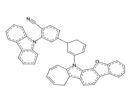 N#Cc1ccc(C2C=C(n3c4c(c5ccc6c7ccccc7oc6c53)CC=CC=C4)C=CC2)cc1-n1c2ccccc2c2ccccc21